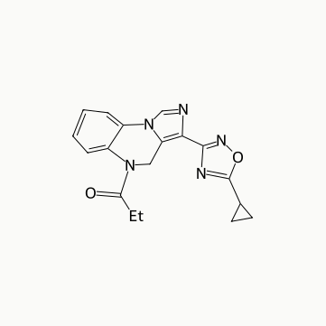 CCC(=O)N1Cc2c(-c3noc(C4CC4)n3)ncn2-c2ccccc21